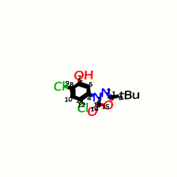 CC(C)(C)c1nn(-c2cc(O)c(Cl)cc2Cl)c(=O)o1